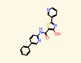 O=C(Nc1ccc(-c2ccccc2)cn1)c1sc(-c2cccnc2)nc1O